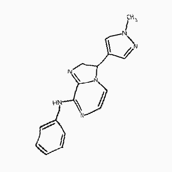 Cn1cc(C2CN=C3C(Nc4ccccc4)=NC=CN32)cn1